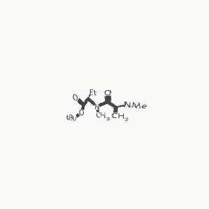 CC[C@@H](C(=O)OC(C)(C)C)N(C)C(=O)[C@H](C)NC